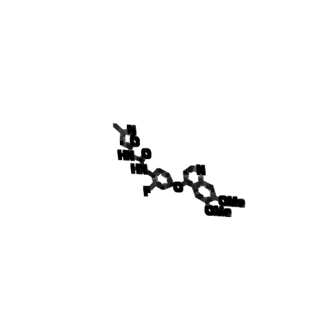 COc1cc2nccc(Oc3ccc(NC(=O)Nc4cc(C)no4)c(F)c3)c2cc1OC